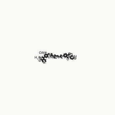 COc1cc(-c2cn(C)c(=O)c3cnccc23)cc(OC)c1CN1CC(n2cc(COC3CN(c4ccc5c(c4)C(=O)N(C4CCC(=O)NC4=O)C5=O)C3)nn2)C1